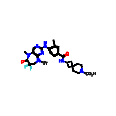 Cc1cc(C(=O)NC2CC3(CCN(C(=O)O)CC3)C2)ccc1Nc1ncc2c(n1)N(C(C)C)CC(F)(F)C(=O)N2C